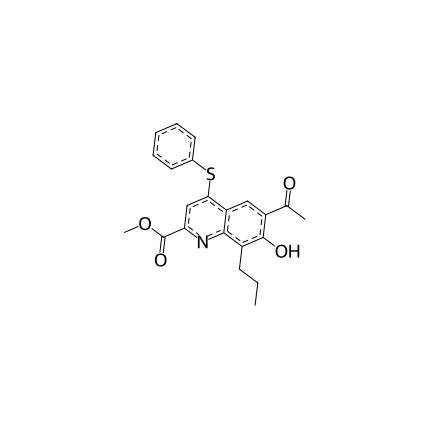 CCCc1c(O)c(C(C)=O)cc2c(Sc3ccccc3)cc(C(=O)OC)nc12